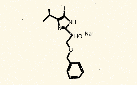 CC(C)c1nc(CCOCc2ccccc2)[nH]c1I.[Na+].[OH-]